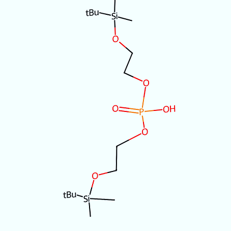 CC(C)(C)[Si](C)(C)OCCOP(=O)(O)OCCO[Si](C)(C)C(C)(C)C